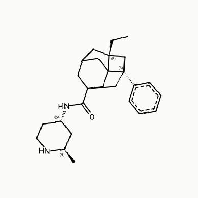 CC[C@]12CC3CC4(C(=O)N[C@H]5CCN[C@H](C)C5)CC1(C3)[C@](c1ccccc1)(C4)C2